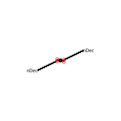 CCCCCCCCCCCCCCCCCCCCCCCCCCCCOC(=O)c1ccc(C(=O)OCCCCCCCCCCCCCCCCCCCCCCCCCCCC)cc1